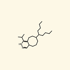 CCCCC(CCCC)C1CCCC2C=NNC(C(C)C)=C2CC1